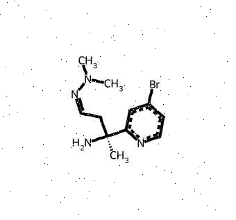 CN(C)/N=C\C[C@](C)(N)c1cc(Br)ccn1